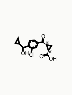 O=C(O)[C@H]1C[C@@H]1C(=O)c1ccc(C(O)C2CC2)c(Cl)c1